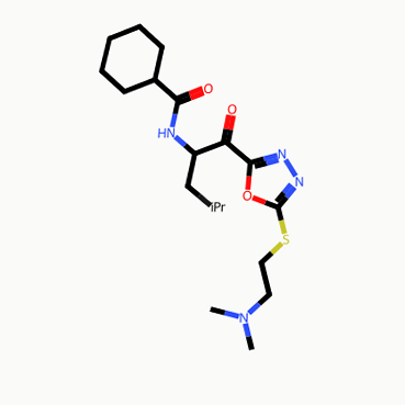 CC(C)CC(NC(=O)C1CCCCC1)C(=O)c1nnc(SCCN(C)C)o1